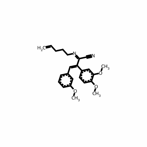 C=CCCC/N=C(C#N)\C(=C\c1cccc(OC)c1)c1ccc(OC)c(OC)c1